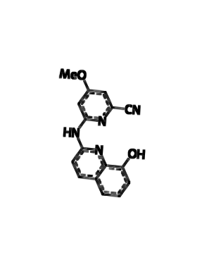 COc1cc(C#N)nc(Nc2ccc3cccc(O)c3n2)c1